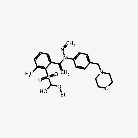 C=NN(C(=C)c1cccc(C(F)(F)F)c1S(=O)(=O)C(O)OCC)c1ccc(CN2CCOCC2)cc1